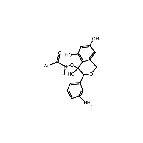 CC(=O)C(=O)N(C)OC1(O)c2c(O)cc(O)cc2COC1c1cccc(N)c1